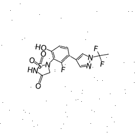 CC(F)(F)n1cc(-c2ccc(O)c(N3CC(=O)NS3(=O)=O)c2F)cn1